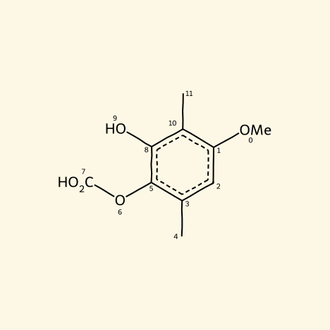 COc1cc(C)c(OC(=O)O)c(O)c1C